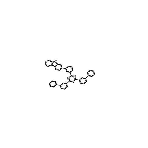 c1ccc(-c2cccc(-c3nc(-c4cccc(-c5ccccc5)c4)nc(-c4cccc(-c5ccc6c(c5)oc5ccccc56)c4)n3)c2)cc1